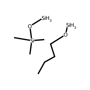 CCCCO[SiH3].C[Si](C)(C)O[SiH3]